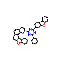 c1ccc(-c2nc(-c3ccc4c(c3)oc3ccccc34)nc(-c3ccc4ccc5ccc6oc7ccccc7c6c5c4c3)n2)cc1